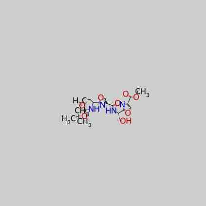 CCC(NC(=O)OC(C)(C)C)c1nc(C(=O)NC(CO)c2nc(C(=O)OC)co2)co1